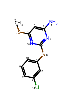 CSc1cc(N)nc(Sc2cccc(Cl)c2)n1